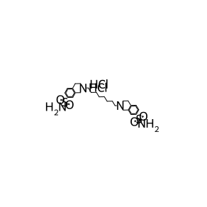 Cl.Cl.NS(=O)(=O)c1ccc2c(c1)CN(CCCCCCCCN1CCc3ccc(S(N)(=O)=O)cc3C1)CC2